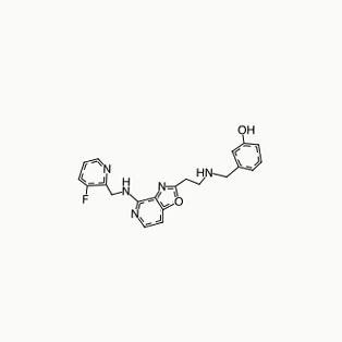 Oc1cccc(CNCCc2nc3c(NCc4ncccc4F)nccc3o2)c1